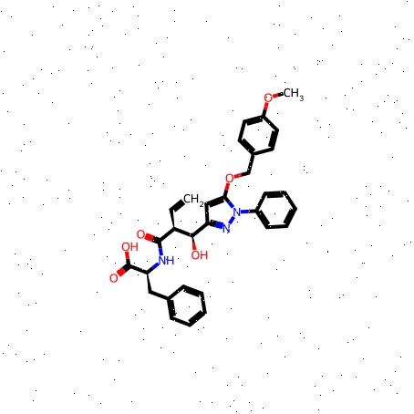 C=C[C@H](C(=O)N[C@@H](Cc1ccccc1)C(=O)O)[C@H](O)c1cc(OCc2ccc(OC)cc2)n(-c2ccccc2)n1